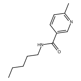 CCCCCNC(=O)c1ccc(C)nc1